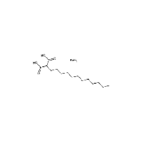 CCCCCCCCCCCCC(C(=O)O)C(=O)O.[BaH2]